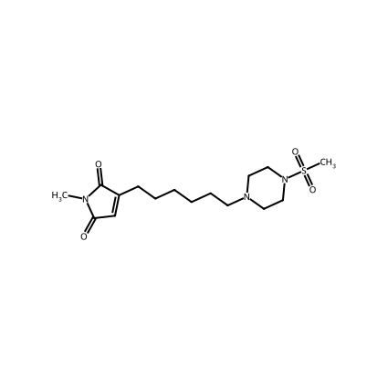 CN1C(=O)C=C(CCCCCCN2CCN(S(C)(=O)=O)CC2)C1=O